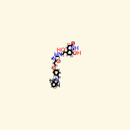 CN(CCNCC(O)c1ccc(O)c2[nH]c(=O)ccc12)C(=O)CCOc1ccc(CN2C[C@H]3CCC[C@H]3C2)cc1